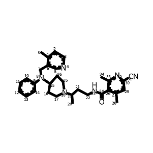 Cc1ccncc1CN(c1ccccc1)C1CCN(C(C)CCNC(=O)c2c(C)cc(C#N)nc2C)CC1